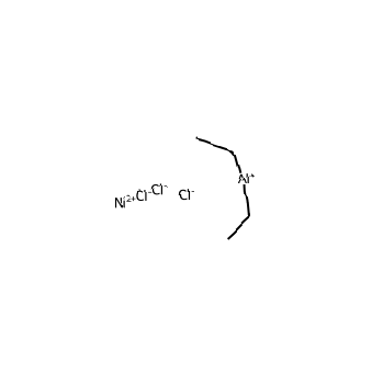 C[CH2][Al+][CH2]C.[Cl-].[Cl-].[Cl-].[Ni+2]